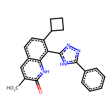 O=C(O)c1cc2ccc(C3CCC3)c(-c3nnc(-c4ccccc4)[nH]3)c2[nH]c1=O